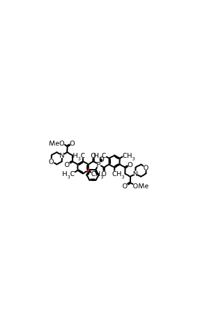 COC(=O)C(CC(=O)c1c(C)cc(C)c(C(=O)P(=O)(C(=O)c2c(C)cc(C)c(C(=O)CC(C(=O)OC)N3CCOCC3)c2C)c2ccccc2)c1C)N1CCOCC1